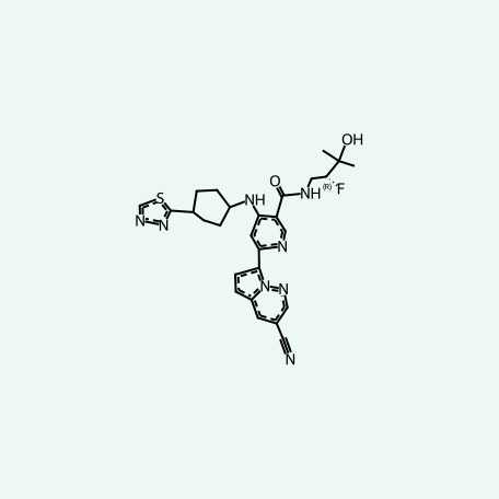 CC(C)(O)[C@H](F)CNC(=O)c1cnc(-c2ccc3cc(C#N)cnn23)cc1NC1CCC(c2nncs2)CC1